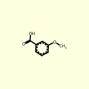 COc1c[c]cc(C(=O)O)c1